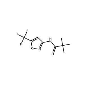 CC(C)(C)C(=O)Nc1cc(C(F)(F)F)on1